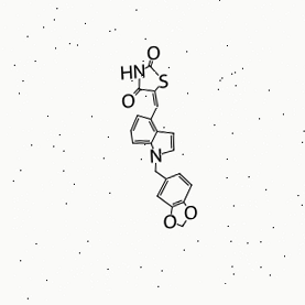 O=C1NC(=O)C(=Cc2cccc3c2ccn3Cc2ccc3c(c2)OCO3)S1